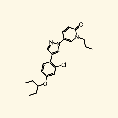 CCCn1cc(-n2cc(-c3ccc(OC(CC)CC)cc3Cl)cn2)ccc1=O